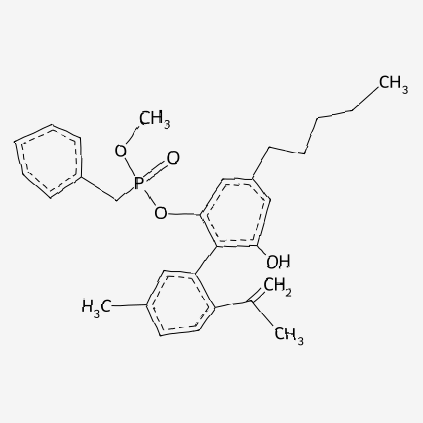 C=C(C)c1ccc(C)cc1-c1c(O)cc(CCCCC)cc1OP(=O)(Cc1ccccc1)OC